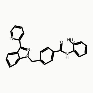 Nc1ccccc1NC(=O)c1ccc(Cn2nc(-c3ccccn3)c3ccccc32)cc1